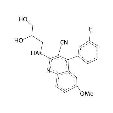 COc1ccc2nc([AsH]CC(O)CO)c(C#N)c(-c3cccc(F)c3)c2c1